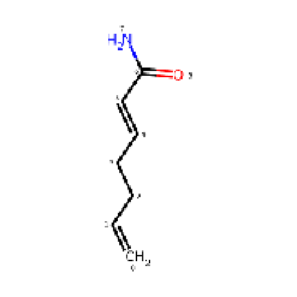 C=CCCC=CC(N)=O